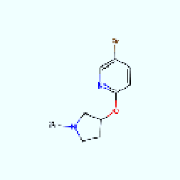 CC(C)N1CCC(Oc2ccc(Br)cn2)C1